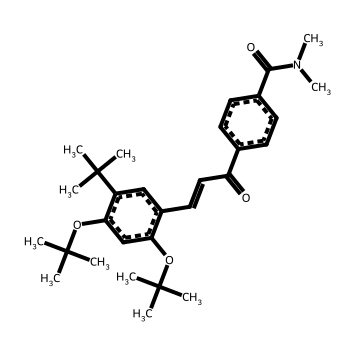 CN(C)C(=O)c1ccc(C(=O)/C=C/c2cc(C(C)(C)C)c(OC(C)(C)C)cc2OC(C)(C)C)cc1